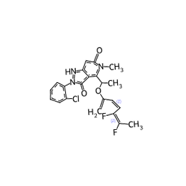 C=C(/C=C\C(F)=C(/C)F)OC(C)c1c2c(=O)n(-c3ccccc3Cl)[nH]c2cc(=O)n1C